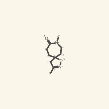 CC1=NOC2(CCC(=O)N(C)CC2)C1